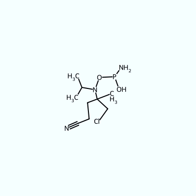 CC(C)N(OP(N)O)C(C)(CCl)CCC#N